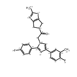 Cc1nc2c(s1)CN(C(=O)Cn1cc(-c3ccc(F)c(C)c3)nc1-c1ccc(F)cc1)C2